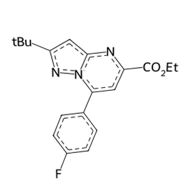 CCOC(=O)c1cc(-c2ccc(F)cc2)n2nc(C(C)(C)C)cc2n1